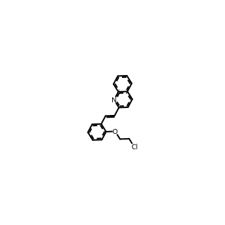 ClCCOc1ccccc1C=Cc1ccc2ccccc2n1